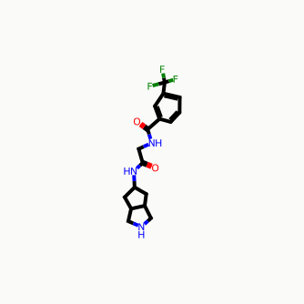 O=C(CNC(=O)c1cccc(C(F)(F)F)c1)NC1CC2CNCC2C1